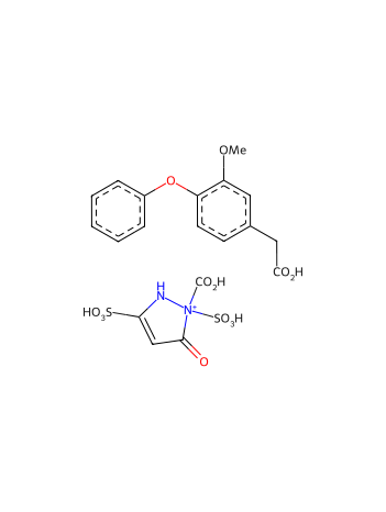 COc1cc(CC(=O)O)ccc1Oc1ccccc1.O=C(O)[N+]1(S(=O)(=O)O)NC(S(=O)(=O)O)=CC1=O